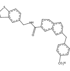 O=C(O)c1ccc(Cc2ccc3ccc(C(=O)NCc4ccc5c(c4)CCS5)cc3c2)cc1